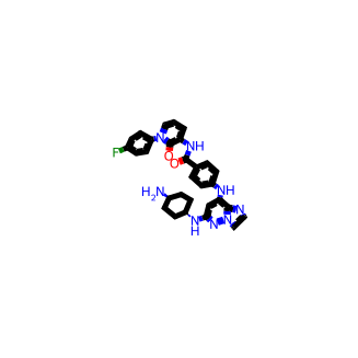 N[C@H]1CC[C@H](Nc2cc(Nc3ccc(C(=O)Nc4cccn(-c5ccc(F)cc5)c4=O)cc3)c3nccn3n2)CC1